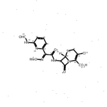 CON=C(C(=O)NC1C(=O)N2C(C(=O)O)=C(Cl)CS[C@@H]12)c1cccc(NC=O)n1